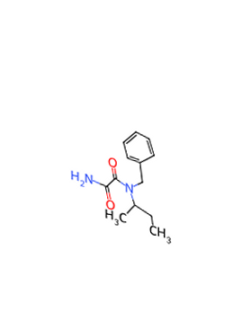 CCC(C)N(Cc1ccccc1)C(=O)C(N)=O